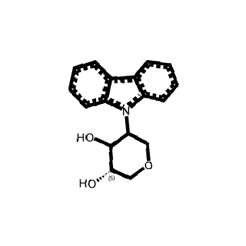 OC1C(n2c3ccccc3c3ccccc32)COC[C@@H]1O